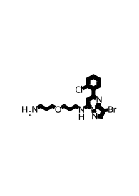 NCCCOCCCNc1cc(-c2ccccc2Cl)nc2c(Br)cnn12